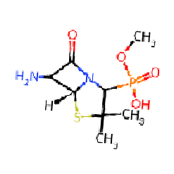 COP(=O)(O)C1N2C(=O)C(N)[C@H]2SC1(C)C